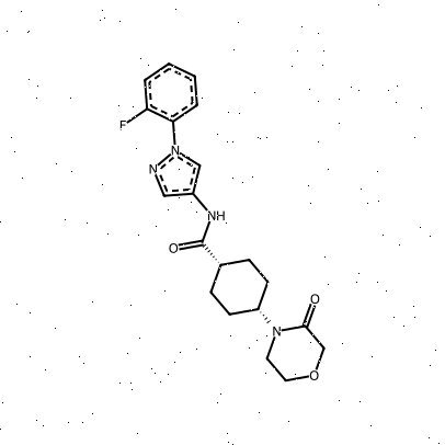 O=C1COCCN1[C@H]1CC[C@@H](C(=O)Nc2cnn(-c3ccccc3F)c2)CC1